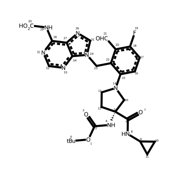 CC(C)(C)OC(=O)N[C@]1(C(=O)NC2CC2)CCN(c2ccc(F)c(C=O)c2Cn2cnc3c(NC(=O)O)ncnc32)C1